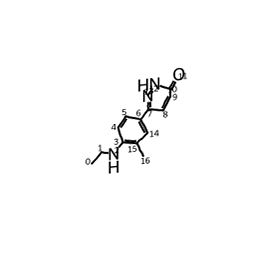 CCNc1ccc(-c2ccc(=O)[nH]n2)cc1C